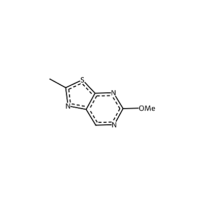 COc1ncc2nc(C)sc2n1